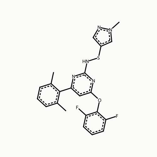 Cc1cccc(C)c1-c1cc(Oc2c(F)cccc2F)nc(NSc2cnn(C)c2)n1